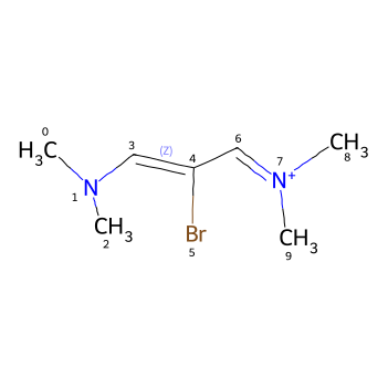 CN(C)/C=C(\Br)C=[N+](C)C